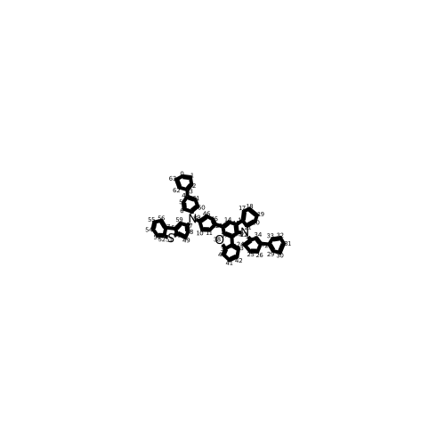 c1ccc(-c2ccc(N(c3ccc(-c4cc5c6ccccc6n(-c6cccc(-c7ccccc7)c6)c5c5c4oc4ccccc45)cc3)c3ccc4sc5ccccc5c4c3)cc2)cc1